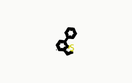 [c]1ccc(-c2ccccc2)c2sccc12